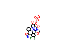 COC(=O)OCOc1c2n(ccc1=O)N(C1c3ccccc3-c3ocnc3-c3c1ccc(F)c3F)C1COCCN1C2=O